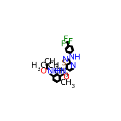 Cc1ccc(CNC(=O)C(C)(C)C)c(C)c1C(=O)Nc1ccnc2c(Nc3ccc(C(F)(F)F)cc3)nsc12